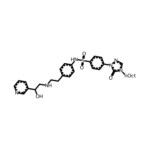 CCCCCCCCn1cnn(-c2ccc(S(=O)(=O)Nc3ccc(CCNCC(O)c4cccnc4)cc3)cc2)c1=O